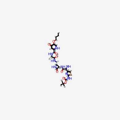 CCCCOc1c[nH]c(C(=O)N[C@@H](C)C(=O)NC[C@H]2NC(=O)[C@H]2NC(=O)C(=N)c2csc(NC(=O)OC(C)(C)C)n2)cc1=O